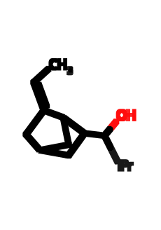 CC=C1CC2CC1C(C(O)C(C)C)C2